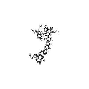 Cc1cc2c(N3CCN(C)c4ccc(C#N)cc43)cc(C3CCN(CC4CCN(c5ccc(N(C)C6CCC(=O)NC6=O)cc5F)CC4)CC3)cc2n(C)c1=O